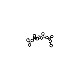 c1ccc(-c2ccc(N(c3ccccc3)c3ccc(-n4c5ccccc5c5c6oc7c(ccc8c7c7ccccc7n8-c7ccc8c(c7)c7ccccc7n8-c7ccccc7)c6ccc54)cc3)cc2)cc1